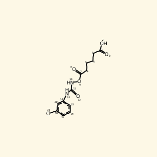 O=C(O)CCCCC(=O)ONC(=O)Nc1cccc(Cl)c1